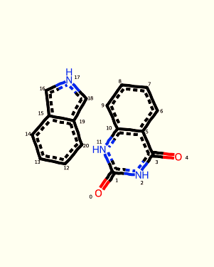 O=c1[nH]c(=O)c2ccccc2[nH]1.c1ccc2c[nH]cc2c1